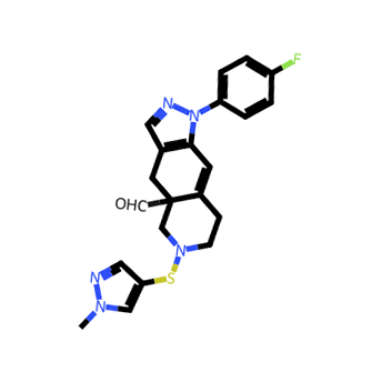 Cn1cc(SN2CCC3=Cc4c(cnn4-c4ccc(F)cc4)CC3(C=O)C2)cn1